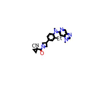 CCc1cc(C2CN(C(=O)C3(C#N)CC3)C2)ccc1N(C)c1cc2c(cn1)ncn2C